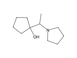 CC(N1CCCC1)C1(O)CCCC1